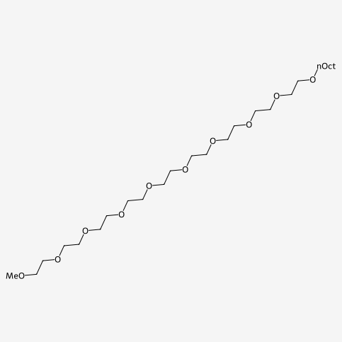 CCCCCCCCOCCOCCOCCOCCOCCOCCOCCOCCOCCOC